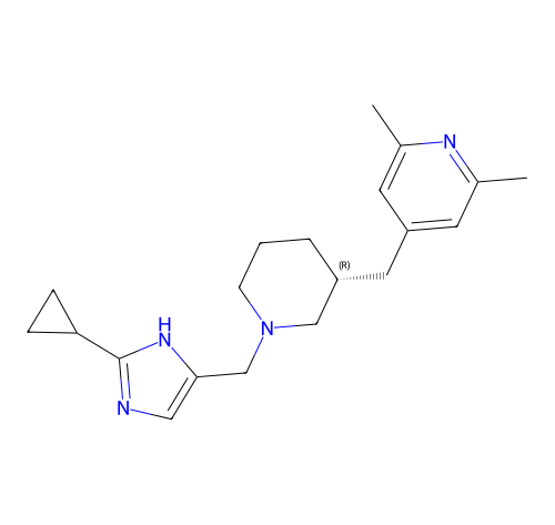 Cc1cc(C[C@H]2CCCN(Cc3cnc(C4CC4)[nH]3)C2)cc(C)n1